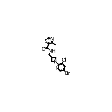 Cc1ncsc1C(=O)NCC1CN(c2ncc(Br)cc2Cl)C1